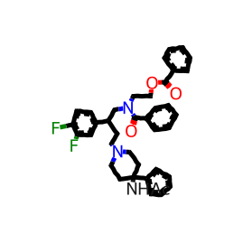 CC(=O)NC1(c2ccccc2)CCN(CCC(CN(CCOC(=O)c2ccccc2)C(=O)c2ccccc2)c2ccc(F)c(F)c2)CC1